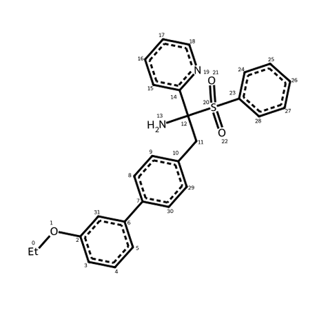 CCOc1cccc(-c2ccc(CC(N)(c3ccccn3)S(=O)(=O)c3ccccc3)cc2)c1